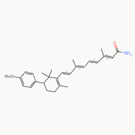 COc1ccc(C2CCC(C)=C(/C=C/C(C)=C/C=C/C(C)=C/C(N)=O)C2(C)C)cc1